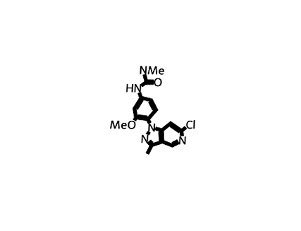 CNC(=O)Nc1ccc(-n2nc(C)c3cnc(Cl)cc32)c(OC)c1